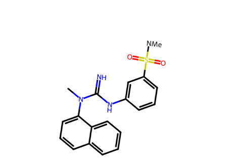 CNS(=O)(=O)c1cccc(NC(=N)N(C)c2cccc3ccccc23)c1